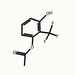 CC(=O)Oc1cccc(O)c1C(F)(F)F